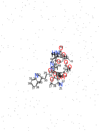 CC[C@H]1OC(=O)[C@H](C)C(=O)[C@H](C)[C@@H](O[C@@H]2O[C@H](C)C[C@H](N(C)C)[C@H]2O)[C@@](C)(OC/C=C/c2cnc3ccccc3c2)C2NC[C@@H](C(=O)[C@@H]2C)[C@H]2NC(=O)O[C@@]21C